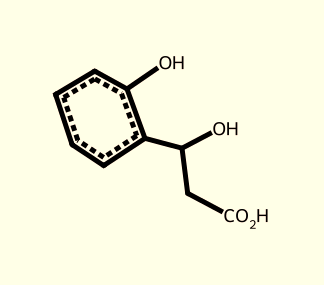 O=C(O)CC(O)c1ccccc1O